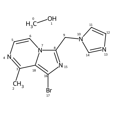 CO.Cc1nccn2c(Cn3ccnc3)nc(Br)c12